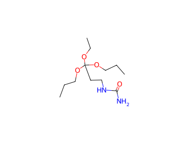 CCCOC(CCNC(N)=O)(OCC)OCCC